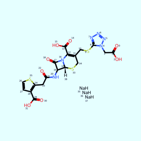 O=C(O)Cn1nnnc1SCC1=C(C(=O)O)N2C(=O)C(NC(=O)Cc3sccc3C(=O)O)[C@H]2SC1.[NaH].[NaH].[NaH]